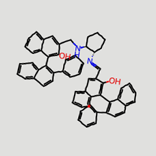 Oc1c(/C=N/[C@H]2CCCC[C@@H]2NCc2cc3ccccc3c(-c3c(-c4ccccc4)ccc4ccccc34)c2O)cc2ccccc2c1-c1c(-c2ccccc2)ccc2ccccc12